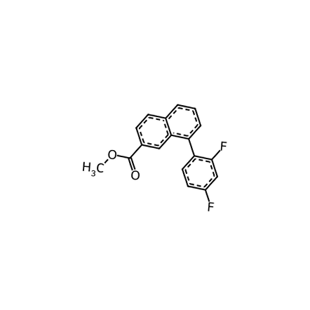 COC(=O)c1ccc2cccc(-c3ccc(F)cc3F)c2c1